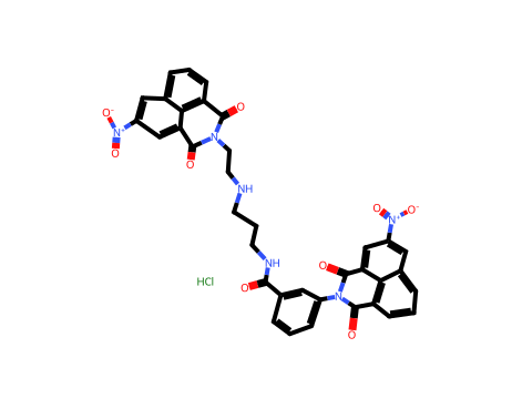 Cl.O=C(NCCCNCCN1C(=O)c2cccc3cc([N+](=O)[O-])cc(c23)C1=O)c1cccc(N2C(=O)c3cccc4cc([N+](=O)[O-])cc(c34)C2=O)c1